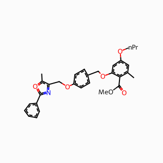 CCCOc1cc(C)c(C(=O)OC)c(OCc2ccc(OCc3nc(-c4ccccc4)oc3C)cc2)c1